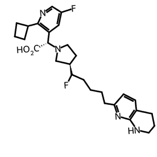 O=C(O)[C@H](c1cc(F)cnc1C1CCC1)N1CC[C@@H](C(F)CCCCc2ccc3c(n2)NCCC3)C1